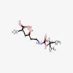 CC(CC(=O)CCNC(=O)OC(C)(C)C)C(=O)O